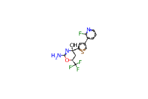 C[C@@]1(c2cc(-c3cccnc3F)cs2)C[C@@H](C(F)(F)F)OC(N)=N1